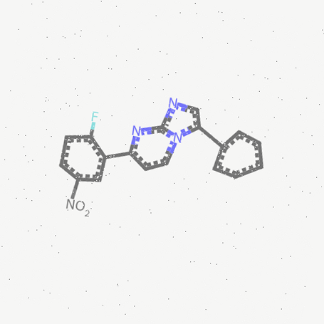 O=[N+]([O-])c1ccc(F)c(-c2ccn3c(-c4ccccc4)cnc3n2)c1